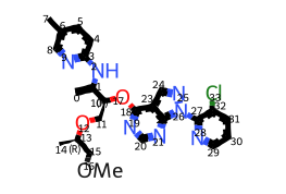 C=C(Nc1ccc(C)cn1)[C@H](CO[C@H](C)COC)Oc1ncnc2c1cnn2-c1ncccc1Cl